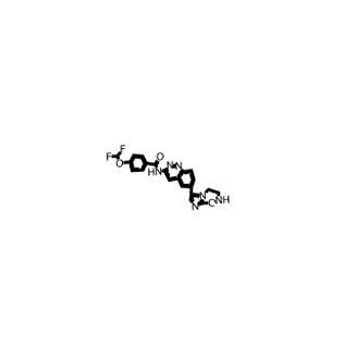 O=C(Nc1cc2cc(-c3cnc4n3CCNC4)ccc2nn1)c1ccc(OC(F)F)cc1